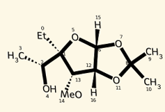 CC[C@]1([C@@H](C)O)O[C@@H]2OC(C)(C)O[C@@H]2[C@@H]1OC